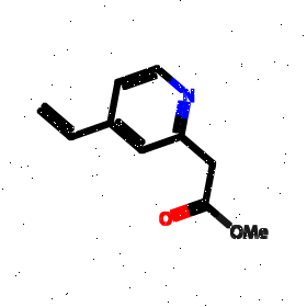 C=Cc1ccnc(CC(=O)OC)c1